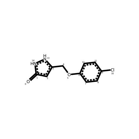 O=c1cc(COc2ccc(Cl)cc2)[nH][nH]1